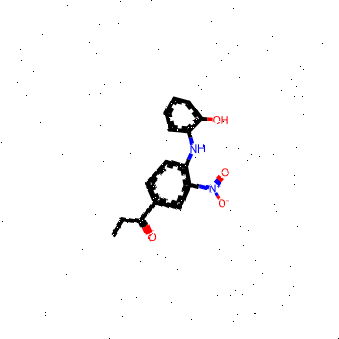 CCC(=O)c1ccc(Nc2ccccc2O)c([N+](=O)[O-])c1